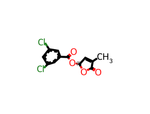 CC1=C[C@H](OC(=O)c2cc(Cl)cc(Cl)c2)OC1=O